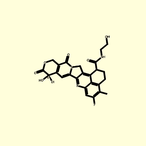 CC[C@@]1(O)C(=O)OCc2c1cc1n(c2=O)Cc2c-1nc1cc(F)c(C)c3c1c2C(C(=O)NCCO)CC3